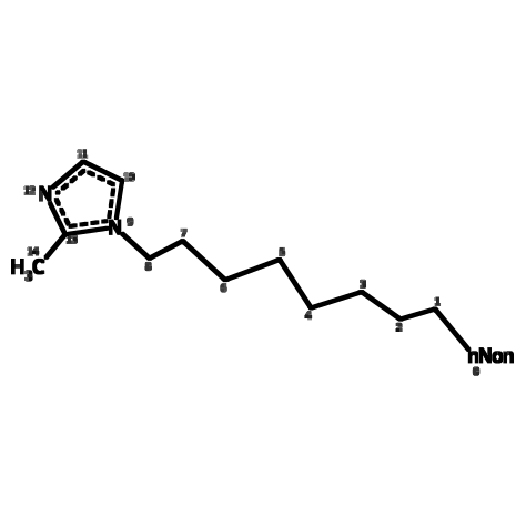 CCCCCCCCCCCCCCCCCn1ccnc1C